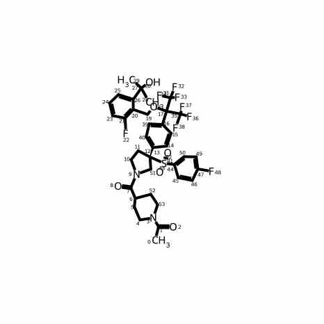 CC(=O)N1CCC(C(=O)N2CC[C@](c3ccc(C(OCc4c(F)cccc4C(C)(C)O)(C(F)(F)F)C(F)(F)F)cc3)(S(=O)(=O)c3ccc(F)cc3)C2)CC1